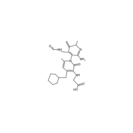 C=C1C(CNC=O)=C(n2c(C)cc(CC3CCCCC3)c(NCC(=O)O)c2=O)C(N)=NC1C